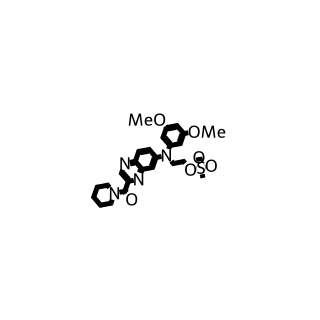 COc1cc(OC)cc(N(CCOS(C)(=O)=O)c2ccc3ncc(C(=O)N4CCCCC4)nc3c2)c1